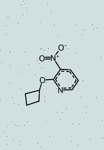 O=[N+]([O-])c1cccnc1OC1CCC1